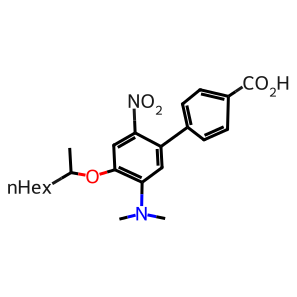 CCCCCCC(C)Oc1cc([N+](=O)[O-])c(-c2ccc(C(=O)O)cc2)cc1N(C)C